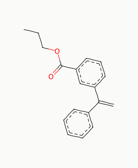 C=C(c1ccccc1)c1cccc(C(=O)OCCC)c1